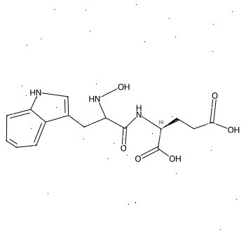 O=C(O)CC[C@H](NC(=O)C(Cc1c[nH]c2ccccc12)NO)C(=O)O